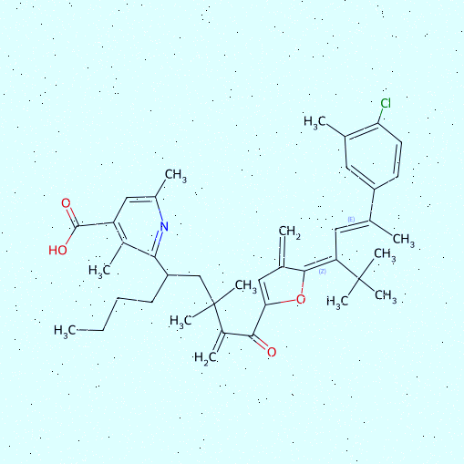 C=C(C(=O)c1cc(=C)/c(=C(\C=C(/C)c2ccc(Cl)c(C)c2)C(C)(C)C)o1)C(C)(C)CC(CCCC)c1nc(C)cc(C(=O)O)c1C